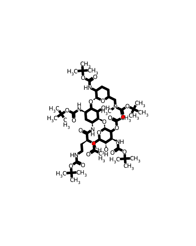 CCC1O[C@H](O[C@@H]2C(O)C(O[C@H]3OC(CN(C)C(=O)OC(C)(C)C)CCC3NC(=O)OC(C)(C)C)[C@H](NC(=O)OC(C)(C)C)C[C@H]2NC(=O)[C@H](CCNC(=O)OC(C)(C)C)OC(C)=O)C(OC(C)=O)[C@@H](NC(=O)OC(C)(C)C)[C@@H]1O